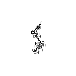 O=C(O)CCC(NC(=O)NC(CCCCNC(=O)Nc1ccccc1OCc1cn(CCF)nn1)C(=O)O)C(=O)O